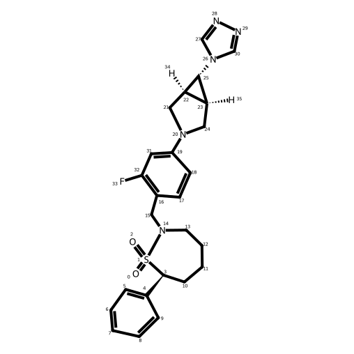 O=S1(=O)[C@H](c2ccccc2)CCCCN1Cc1ccc(N2C[C@@H]3[C@H](C2)[C@H]3n2cnnc2)cc1F